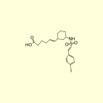 O=C(O)CCCC=CC1CCCC(NS(=O)(=O)C=Cc2ccc(I)cc2)C1